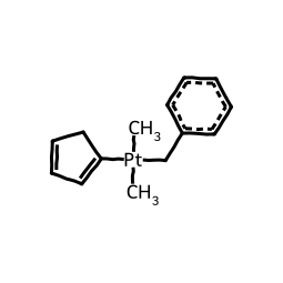 [CH3][Pt]([CH3])([CH2]c1ccccc1)[C]1=CC=CC1